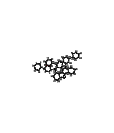 c1ccc(-c2ccc(N(c3ccccc3-c3ccccc3)c3cccc4oc5c6ccccc6c(-c6cccc(-c7ccccc7)c6)cc5c34)cc2)cc1